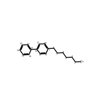 ICCCCCCc1ccc(-c2ccccc2)cc1